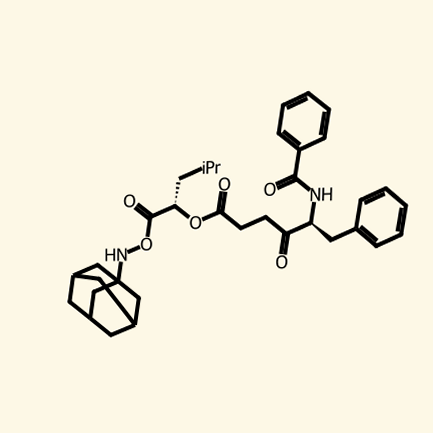 CC(C)C[C@H](OC(=O)CCC(=O)[C@H](Cc1ccccc1)NC(=O)c1ccccc1)C(=O)ONC12CC3CC(CC(C3)C1)C2